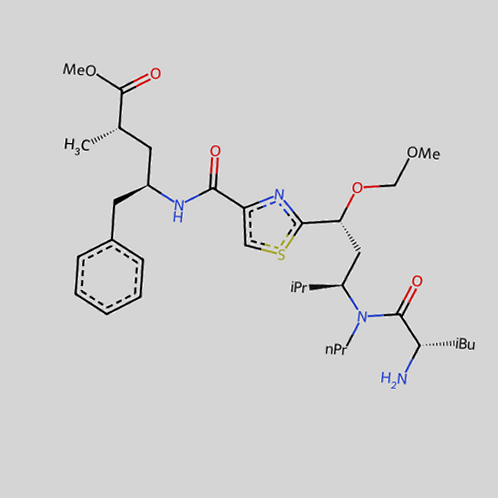 CCCN(C(=O)[C@@H](N)C(C)CC)[C@H](C[C@@H](OCOC)c1nc(C(=O)N[C@@H](Cc2ccccc2)C[C@H](C)C(=O)OC)cs1)C(C)C